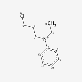 CCN(CCCCl)c1ccccc1